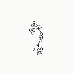 CCCCCN(CCCOC(=O)/C=C\C(=O)OCCC[N@+]1(C)CCc2cc(OC)c(OC)cc2[C@H]1Cc1ccc(OC)c(OC)c1)Cc1ccc(OC)c(OC)c1OC